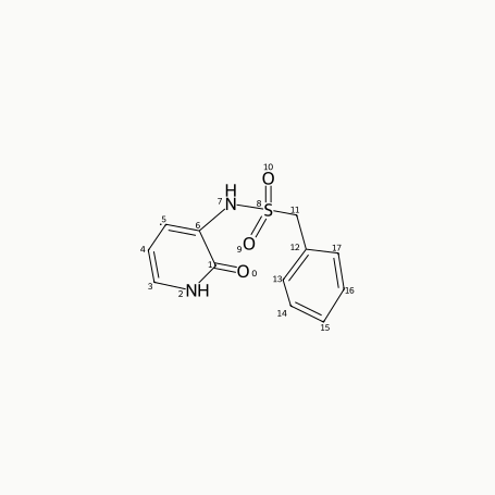 O=c1[nH]cc[c]c1NS(=O)(=O)Cc1ccccc1